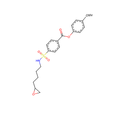 COc1ccc(OC(=O)c2ccc(S(=O)(=O)NCCCCC3CO3)cc2)cc1